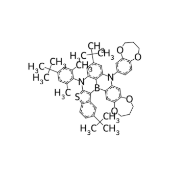 Cc1cc(C(C)(C)C)cc(C)c1N1c2cc(C(C)(C)C)cc3c2B(c2cc4c(cc2N3c2ccc3c(c2)OCCCO3)OCCCO4)c2c1sc1ccc(C(C)(C)C)cc21